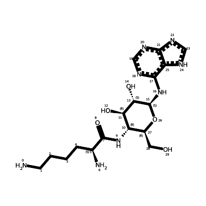 NCCCC[C@H](N)C(=O)N[C@@H]1[C@@H](O)[C@H](O)[C@@H](Nc2ncnc3nc[nH]c23)O[C@H]1CO